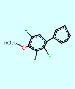 CCCCCCCCOc1c(F)cc(-c2ccccc2)c(F)c1F